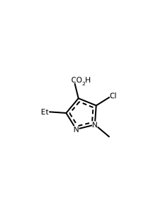 CCc1nn(C)c(Cl)c1C(=O)O